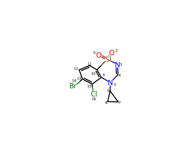 O=S1(=O)N=CN(C2CC2)c2c1ccc(Br)c2Cl